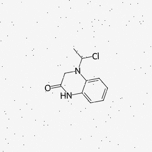 C[C](Cl)N1CC(=O)Nc2ccccc21